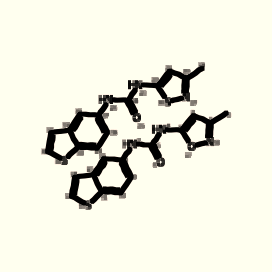 Cc1cc(NC(=O)Nc2ccc3sccc3c2)on1.Cc1cc(NC(=O)Nc2ccc3sccc3c2)sn1